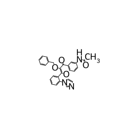 CC(=O)Nc1ccc2oc(-c3ccccc3-n3ccnc3)c(OCc3ccccc3)c(=O)c2c1